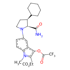 CCOC(=O)c1c(OC(=O)C(F)(F)F)c2cc(N3CC[C@@H](C4CCCCC4)[C@H]3C(N)=O)ccc2n1C